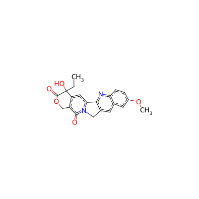 CCC1(O)C(=O)OCc2c1cc1n(c2=O)Cc2cc3cc(OC)ccc3nc2-1